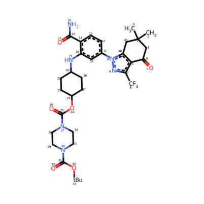 CC1(C)CC(=O)c2c(C(F)(F)F)nn(-c3ccc(C(N)=O)c(NC4CCC(OC(=O)N5CCN(C(=O)OC(C)(C)C)CC5)CC4)c3)c2C1